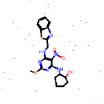 CSc1nc(NCc2nc3ccccc3s2)c([N+](=O)[O-])c(N[C@@H]2CCCC[C@@H]2O)n1